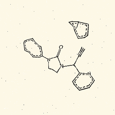 C#CC(c1ccccn1)N1CCN(c2ccccc2)C1=O.c1cc2cc-2c1